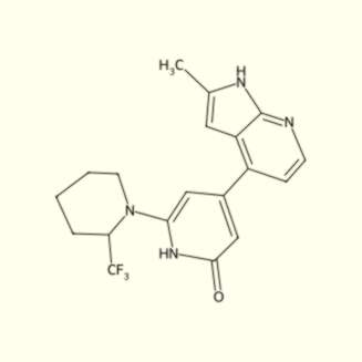 Cc1cc2c(-c3cc(N4CCCCC4C(F)(F)F)[nH]c(=O)c3)ccnc2[nH]1